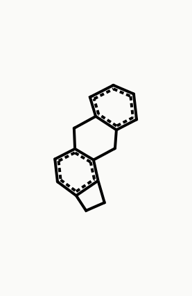 c1ccc2c(c1)Cc1ccc3c(c1C2)CC3